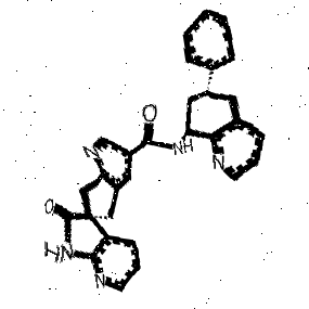 O=C(N[C@H]1C[C@H](c2ccccc2)Cc2cccnc21)c1cnc2c(c1)C[C@@]1(C2)C(=O)Nc2ncccc21